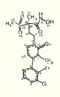 Cc1c(-c2cccc(Cl)c2F)ccn(CC[C@](C)(C(=O)NO)S(C)(=O)=O)c1=O